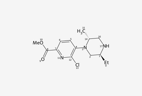 CC[C@H]1CN(c2ccc(C(=O)OC)nc2Cl)[C@H](C)CN1